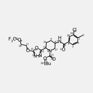 Cc1ccc(C(=O)NC2CCC(c3nnc(OCCOC(F)(F)F)o3)N(C(=O)OC(C)(C)C)C2)cc1Cl